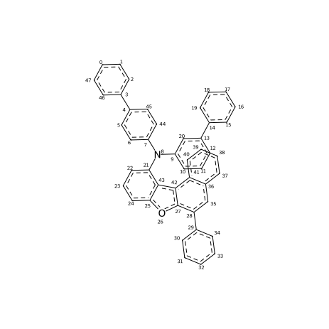 c1ccc(-c2ccc(N(c3cccc(-c4ccccc4)c3)c3cccc4oc5c(-c6ccccc6)cc6ccccc6c5c34)cc2)cc1